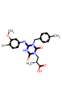 COc1cc(/N=c2\[nH]c(=O)n(C[C@H](C)C(=O)O)c(=O)n2Cc2ccc(C)cc2)ccc1Br